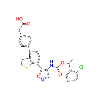 CC(OC(=O)Nc1cnoc1-c1ccc(-c2ccc(CC(=O)O)cc2)c2c1SCC2)c1ccccc1Cl